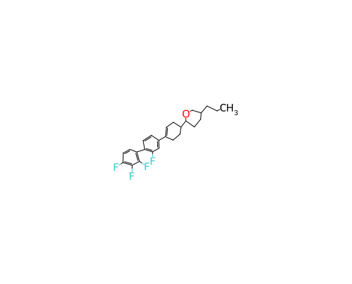 CCCC1CCC(C2CC=C(c3ccc(-c4ccc(F)c(F)c4F)c(F)c3)CC2)OC1